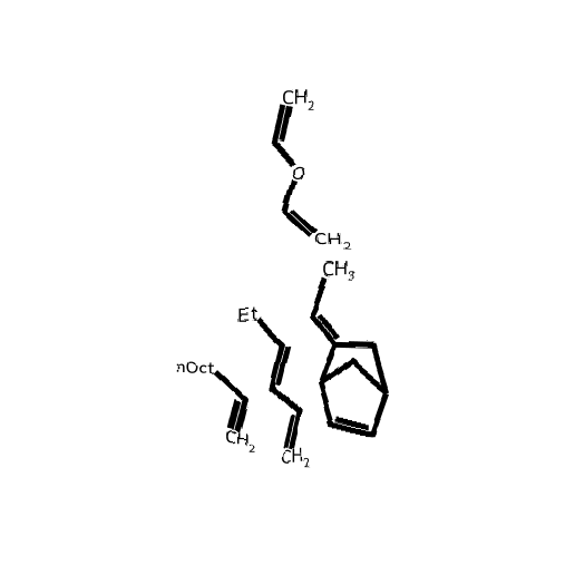 C=CC=CCC.C=CCCCCCCCC.C=COC=C.CC=C1CC2C=CC1C2